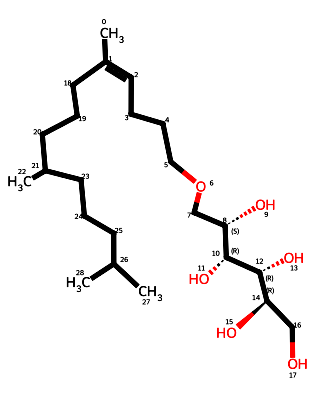 CC(=CCCCOC[C@H](O)[C@@H](O)[C@H](O)[C@H](O)CO)CCCC(C)CCCC(C)C